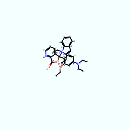 CCOc1cc(N(CC)CC)ccc1C1([N+]2(CC)C(CC)=Cc3ccccc32)OC(=O)c2ncccc21